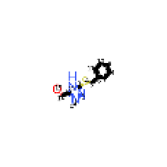 CN1N=C(SCc2ccccc2)NC1C=O